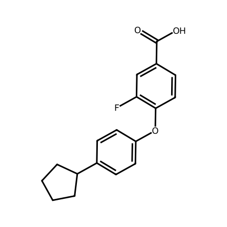 O=C(O)c1ccc(Oc2ccc(C3CCCC3)cc2)c(F)c1